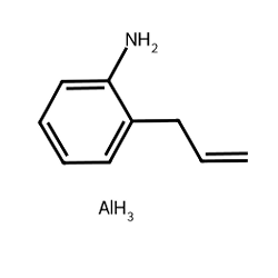 C=CCc1ccccc1N.[AlH3]